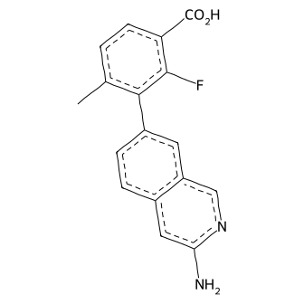 Cc1ccc(C(=O)O)c(F)c1-c1ccc2cc(N)ncc2c1